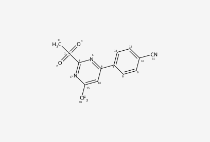 CS(=O)(=O)c1nc(-c2ccc(C#N)cc2)cc(C(F)(F)F)n1